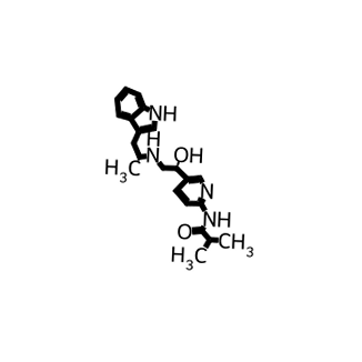 CC(C)C(=O)Nc1ccc([C@@H](O)CN[C@H](C)Cc2c[nH]c3ccccc23)cn1